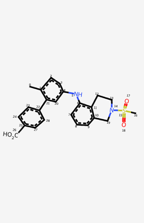 Cc1ccc(Nc2cccc3c2CCN(S(C)(=O)=O)C3)cc1-c1ccc(C(=O)O)cc1